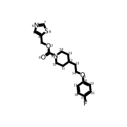 O=C(OCc1cncs1)N1CCC(CCOc2ccc(F)cc2)CC1